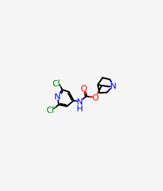 O=C(Nc1cc(Cl)nc(Cl)c1)OC1CN2CCC1CC2